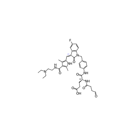 CCN(CC)CCNC(=O)c1c(C)[nH]c(/C=C2\C(=O)N(Cc3ccc(NC(=O)[C@H](CCC(=O)O)NC(=O)CCC=O)cc3)c3ccc(F)cc32)c1C